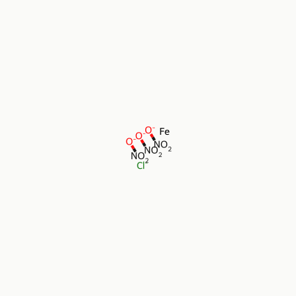 O=[N+]([O-])[O-].O=[N+]([O-])[O-].O=[N+]([O-])[O-].[Cl-].[Fe]